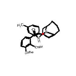 COc1cccc(C(=O)NC2CC3CCCC(C2)N3Cc2ccc(C)cc2)c1OC